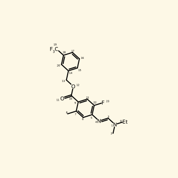 CCN(C)/C=N/c1cc(C)c(C(=O)OCc2cccc(C(F)(F)F)c2)cc1F